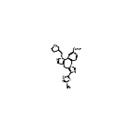 COc1ccc2c(c1)-c1c(cnn1CC1CCOC1)Cc1c(-c3nc(C(C)C)no3)ncn1-2